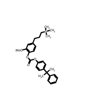 COc1cc(CCC[Si](C)(C)C)ccc1OC(=O)Oc1ccc(C(C)(C)c2ccccc2)cc1